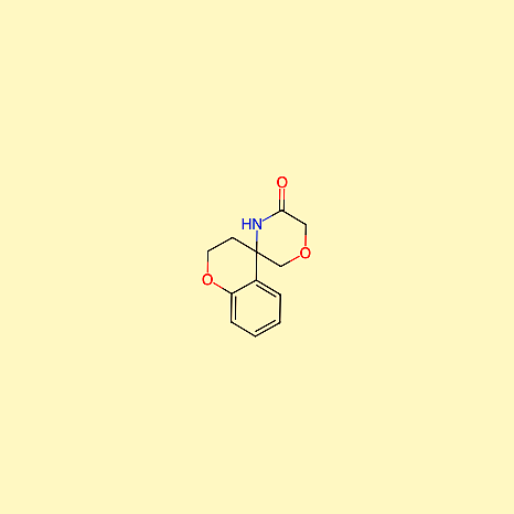 O=C1COCC2(CCOc3ccccc32)N1